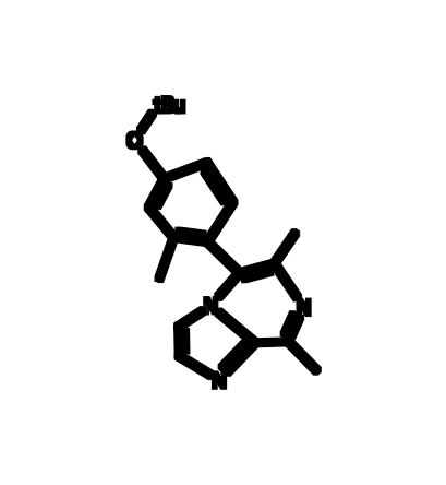 Cc1cc(OC(C)(C)C)ccc1-c1c(C)nc(C)c2nccn12